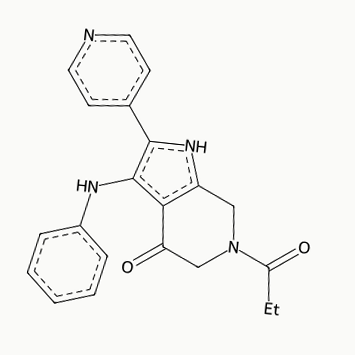 CCC(=O)N1CC(=O)c2c([nH]c(-c3ccncc3)c2Nc2ccccc2)C1